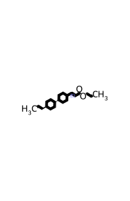 CCCOC(=O)/C=C/C1CCC([C@H]2CC[C@H](CCC)CC2)CC1